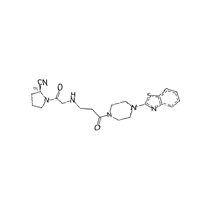 N#C[C@@H]1CCCN1C(=O)CNCCC(=O)N1CCN(c2nc3ccccc3s2)CC1